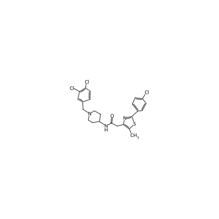 Cc1sc(-c2ccc(Cl)cc2)nc1CC(=O)NC1CCN(Cc2ccc(Cl)c(Cl)c2)CC1